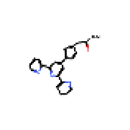 COC(=O)Cc1ccc(-c2cc(-c3ccccn3)nc(-c3ccccn3)c2)cc1